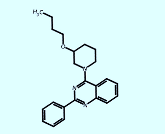 CCCCOC1CCCN(c2nc(-c3ccccc3)nc3ccccc23)C1